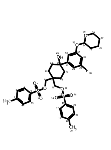 Cc1ccc(S(=O)(=O)OCC2(COS(=O)(=O)c3ccc(C)cc3)CCC(O)(c3cc(F)cc(OC4CCCCO4)c3)CC2)cc1